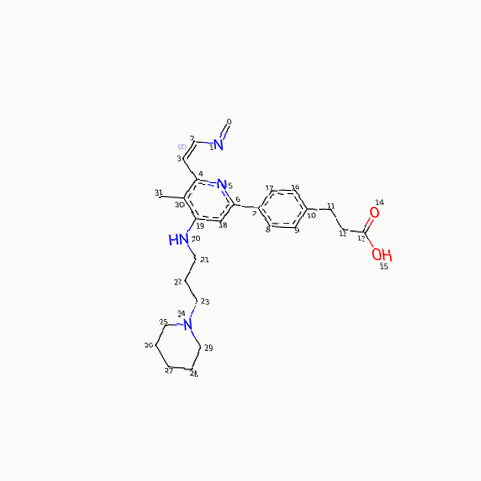 C=N/C=C\c1nc(-c2ccc(CCC(=O)O)cc2)cc(NCCCN2CCCCC2)c1C